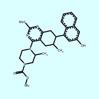 CSc1nc2c(c(N3CCN(C(=O)OC(C)(C)C)CC3C)n1)CC(C)C(c1cc(O)cc3ccccc13)C2